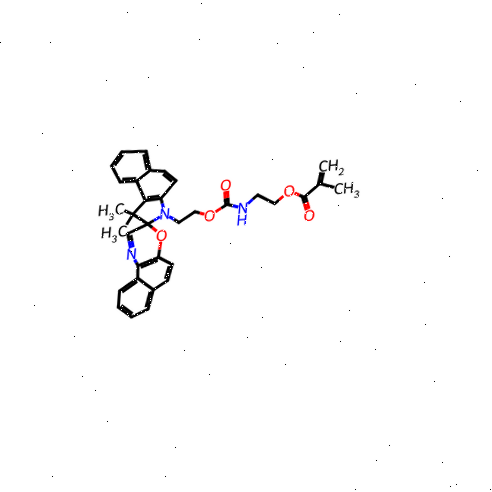 C=C(C)C(=O)OCCNC(=O)OCCN1c2ccc3ccccc3c2C(C)(C)C12C=Nc1c(ccc3ccccc13)O2